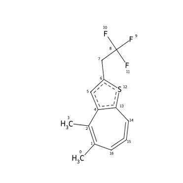 CC1=C(C)c2cc(CC(F)(F)F)sc2C=C=C1